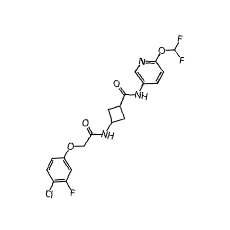 O=C(COc1ccc(Cl)c(F)c1)NC1CC(C(=O)Nc2ccc(OC(F)F)nc2)C1